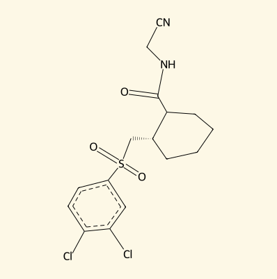 N#CCNC(=O)C1CCCC[C@@H]1CS(=O)(=O)c1ccc(Cl)c(Cl)c1